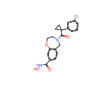 O=C(NO)c1ccc2c(c1)OCCN(C(=O)C1(c3cccc(Cl)c3)CC1)C2